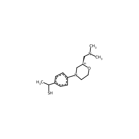 CC(S)c1ccc(N2CCO[C@H](CN(C)C)C2)cc1